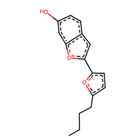 CCCCc1ccc(-c2cc3ccc(O)cc3o2)o1